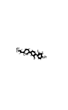 CCCc1ccc(-c2ccc(C3CCC(CCOCC)OC3)cc2F)c(F)c1F